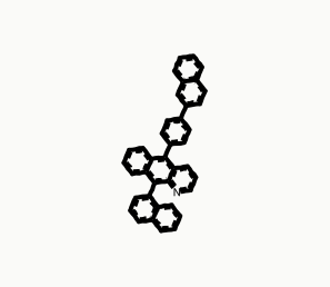 c1ccc2cc(-c3ccc(-c4c5ccccc5c(-c5cccc6ccccc56)c5ncccc45)cc3)ccc2c1